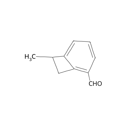 CC1Cc2c(C=O)cccc21